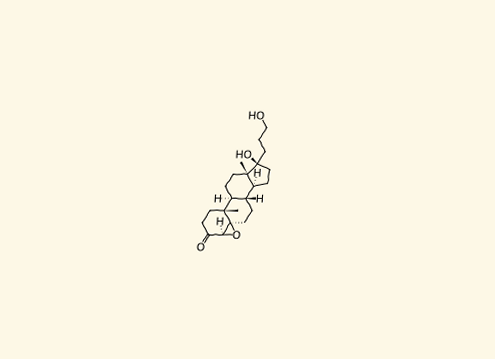 C[C@]12CC[C@H]3[C@@H](CC[C@]45O[C@H]4C(=O)CC[C@]35C)[C@@H]1CC[C@@]2(O)CCCO